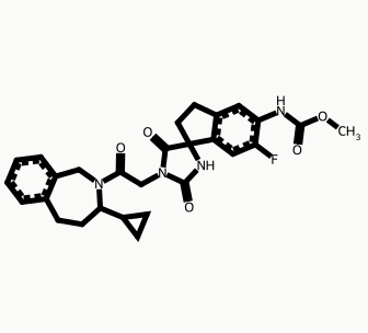 COC(=O)Nc1cc2c(cc1F)C1(CC2)NC(=O)N(CC(=O)N2Cc3ccccc3CCC2C2CC2)C1=O